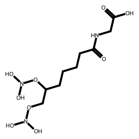 O=C(O)CNC(=O)CCCCC(CON(O)O)ON(O)O